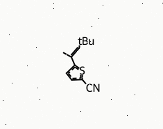 C/C(=C\C(C)(C)C)c1ccc(C#N)s1